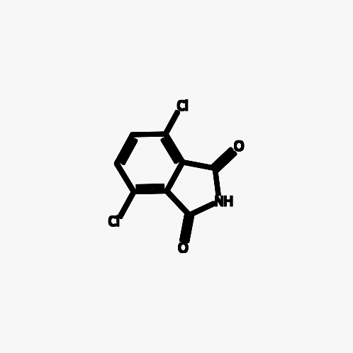 O=C1NC(=O)c2c(Cl)ccc(Cl)c21